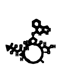 C[C@H]1CCC=C[C@@H]2C[C@@]2(C(=O)NS(=O)(=O)C2(C)CC2)NC(=O)[C@@H]2C[C@@H](Oc3nc4nncn4c4ccccc34)CN2C(=O)[C@@H](NC(=O)O)[C@H](C)C1